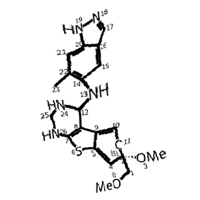 COC[C@@]1(OC)C=c2sc3c(c2=CC1)C(Nc1cc2cn[nH]c2cc1C)NCN3